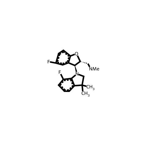 CNC[C@H]1Oc2ccc(F)cc2[C@@H]1N1CC(C)(C)c2cccc(F)c21